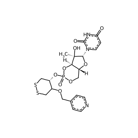 C[C@@]1(O)[C@@H]2OP(=O)(O[C@H]3CSSCC3OCc3ccncc3)OC[C@H]2O[C@H]1n1ccc(=O)[nH]c1=O